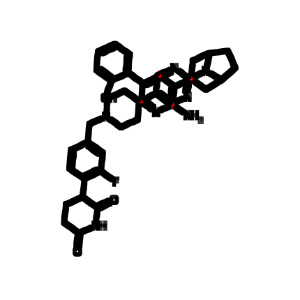 Nc1nnc(-c2ccccc2O)cc1N1CC2CCC(C1)N2c1ncc(C2CCN(Cc3ccc(C4CCC(=O)NC4=O)c(F)c3)CC2)cn1